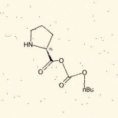 CCCCOC(=O)OC(=O)[C@@H]1CCCN1